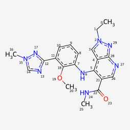 CCn1cc2c(Nc3cccc(-c4ncn(C)n4)c3OC)c(C(=O)NC)cnc2n1